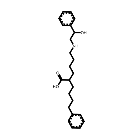 O=C(O)C(CCCCNCC(O)c1ccccc1)CCCCc1ccccc1